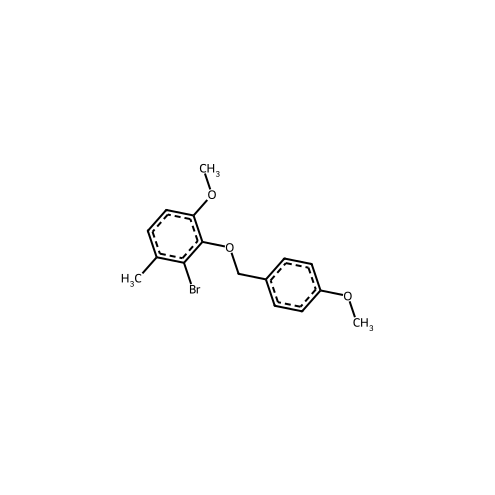 COc1ccc(COc2c(OC)ccc(C)c2Br)cc1